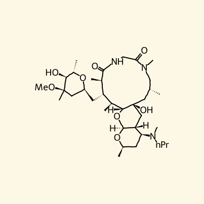 CCCN(C)[C@H]1C[C@@H](C)O[C@H]2O[C@@H]3[C@@H](C)[C@H](C[C@H]4C[C@@](C)(OC)[C@@H](O)[C@H](C)O4)[C@@H](C)C(=O)NCC(=O)N(C)C[C@H](C)C[C@]3(O)C[C@@H]21